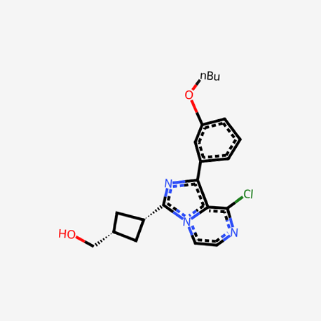 CCCCOc1cccc(-c2nc([C@H]3C[C@@H](CO)C3)n3ccnc(Cl)c23)c1